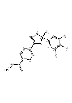 O=CNC(=O)c1ccc(C2=NO[C@@](c3cc(Cl)c(Cl)c(Cl)c3)(C(F)(F)F)C2)cc1